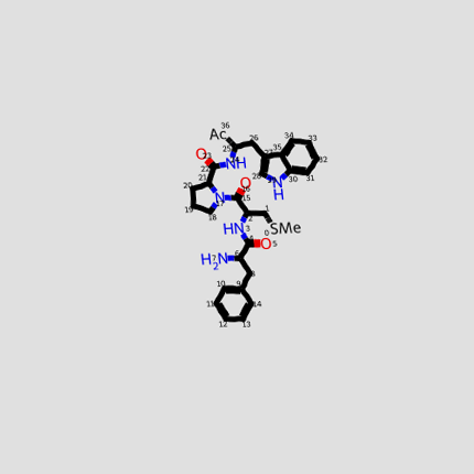 CSCC(NC(=O)C(N)Cc1ccccc1)C(=O)N1CCCC1C(=O)NC(Cc1c[nH]c2ccccc12)C(C)=O